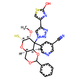 CO[C@H]1[C@@H](S)O[C@@H]2COC(c3ccccc3)O[C@@H]2C1(c1cncc(C#N)c1)n1cc(-c2csc(O)n2)nn1